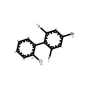 Fc1cc(Br)cc(F)c1-c1ccc[c]c1Cl